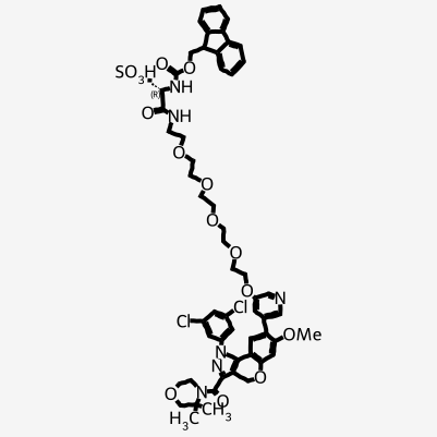 COc1cc2c(cc1-c1cncc(OCCOCCOCCOCCOCCNC(=O)[C@H](CS(=O)(=O)O)NC(=O)OCC3c4ccccc4-c4ccccc43)c1)-c1c(c(C(=O)N3CCOCC3(C)C)nn1-c1cc(Cl)cc(Cl)c1)CO2